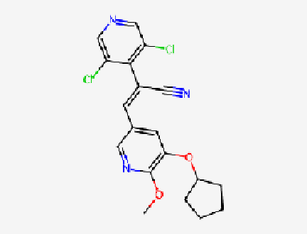 COc1ncc(C=C(C#N)c2c(Cl)cncc2Cl)cc1OC1CCCC1